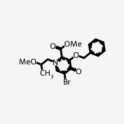 COC(=O)c1c(OCc2ccccc2)c(=O)c(Br)cn1CC(C)OC